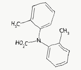 Cc1ccccc1N(C(=O)O)c1ccccc1C